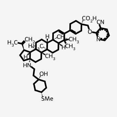 C=C(C)[C@@H]1CC[C@]2(NCC[C@]3(O)CC[C@@H](SC)CC3)CC[C@]3(C)[C@H](CC[C@@H]4[C@@]5(C)CC=C(C6=CC[C@@](COc7ncccc7C#N)(C(=O)O)CC6)C(C)(C)[C@@H]5CC[C@]43C)[C@@H]12